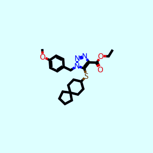 CCOC(=O)c1nnn(Cc2ccc(OC)cc2)c1SC1CCC2(CCCC2)CC1